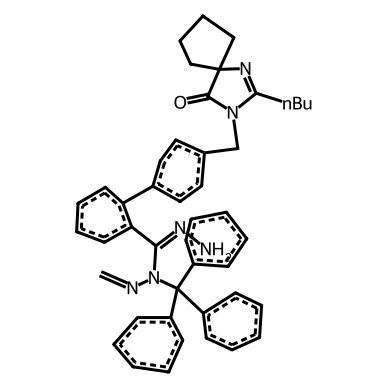 C=NN(/C(=N\N)c1ccccc1-c1ccc(CN2C(=O)C3(CCCC3)N=C2CCCC)cc1)C(c1ccccc1)(c1ccccc1)c1ccccc1